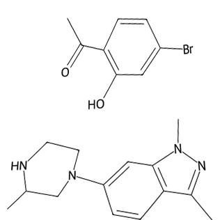 CC(=O)c1ccc(Br)cc1O.Cc1nn(C)c2cc(N3CCNC(C)C3)ccc12